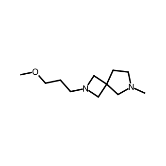 COCCCN1CC2(CCN(C)C2)C1